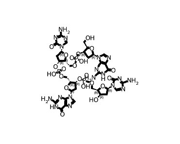 Nc1ncn([C@H]2C[C@@H](O)[C@@H](COP(=O)(O)O[C@@H]3C[C@H](n4cnc5c(=O)[nH]c(N)nc54)O[C@@H]3COP(=O)(O)O[C@@H]3C[C@H](n4cnc(N)nc4=O)O[C@@H]3COP(=O)(O)O[C@@H]3C[C@H](n4cnc5c(=O)[nH]c(N)nc54)O[C@@H]3CO)O2)c(=O)n1